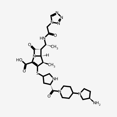 C[C@@H](NC(=O)Cn1cnnn1)[C@H]1C(=O)N2C(C(=O)O)=C(SC3CN[C@H](C(=O)N4CCC(N5CC[C@@H](N)C5)CC4)C3)[C@H](C)[C@H]12